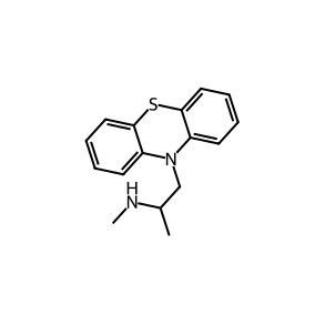 CNC(C)CN1c2ccccc2Sc2ccccc21